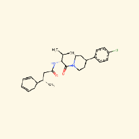 CC(C)[C@@H](NC(=O)C[C@H](C)C1C=CC=CC1)C(=O)N1CCC(c2ccc(Cl)cc2)CC1